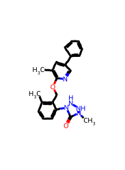 Cc1cc(-c2ccccc2)cnc1OCc1c(C)cccc1N1NNN(C)C1=O